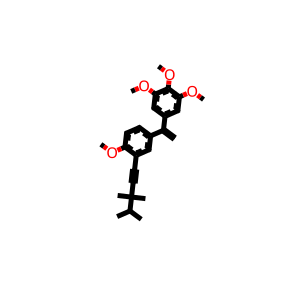 C=C(c1ccc(OC)c(C#CC(C)(C)C(C)C)c1)c1cc(OC)c(OC)c(OC)c1